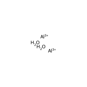 O.O.[Al+3].[Al+3]